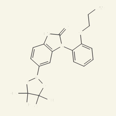 COCCOc1ccccc1-n1c(=O)[nH]c2ccc(B3OC(C)(C)C(C)(C)O3)cc21